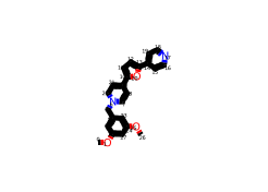 COc1cc(CN2C=CC(c3ccc(-c4ccncc4)o3)=CC2)cc(OC)c1